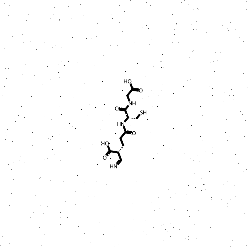 N=C[C@@H](CCC(=O)N[C@@H](CS)C(=O)NCC(=O)O)C(=O)O